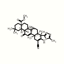 COC(=O)[C@]12CCC(C)(C)C[C@H]1[C@H]1C(=O)C=C3[C@@]4(C)CC(C#N)=C(O)[C@@](C)(c5nnc(C)o5)[C@@H]4CC[C@@]3(C)[C@]1(C)CC2